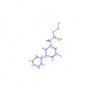 CCCC(=O)Nc1nc(C)nc(-c2ccccn2)n1